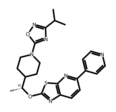 CC(C)c1noc(N2CCC([C@@H](C)Oc3nc4ccc(-c5ccncc5)nc4s3)CC2)n1